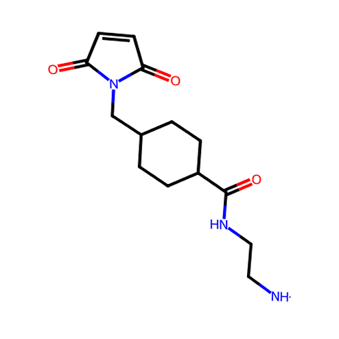 [NH]CCNC(=O)C1CCC(CN2C(=O)C=CC2=O)CC1